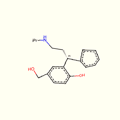 CC(C)NCC[C@H](c1ccccc1)c1cc(CO)ccc1O